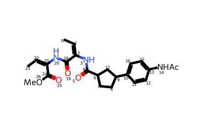 CC=C(NC(=O)C1CCC(c2ccc(NC(C)=O)cc2)C1)C(=O)N/C(=C/C)C(=O)OC